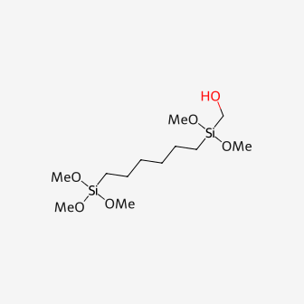 CO[Si](CO)(CCCCCC[Si](OC)(OC)OC)OC